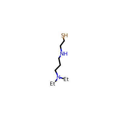 CCN(CC)CCCNCCS